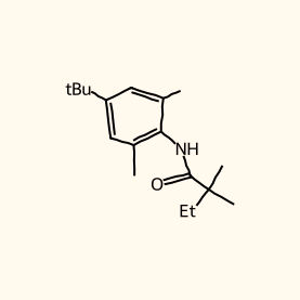 CCC(C)(C)C(=O)Nc1c(C)cc(C(C)(C)C)cc1C